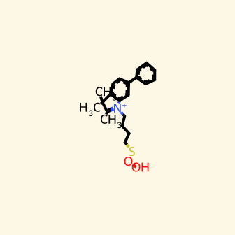 CC1=[N+](CCCCSOO)c2cc(-c3ccccc3)ccc2C1(C)C